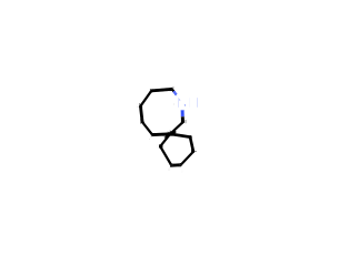 C1CCNCC2(CC1)CCCCC2